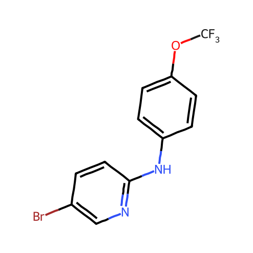 FC(F)(F)Oc1ccc(Nc2ccc(Br)cn2)cc1